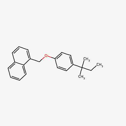 CCC(C)(C)c1ccc(OCc2cccc3ccccc23)cc1